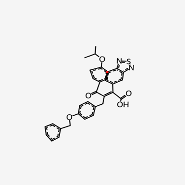 CC(C)Oc1ccc(C(=O)/C(Cc2ccc(OCc3ccccc3)cc2)=C(/C(=O)O)c2ccc3nsnc3c2)cc1